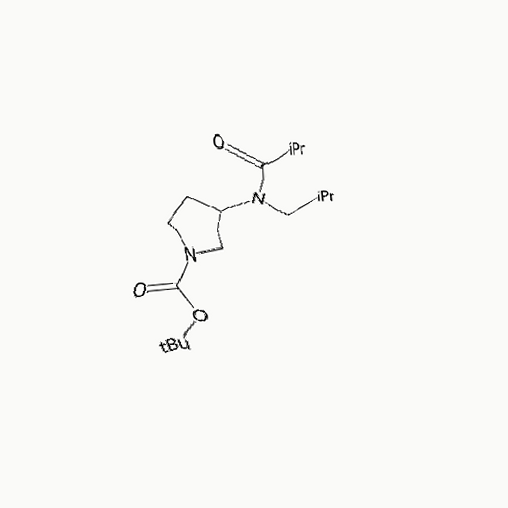 CC(C)CN(C(=O)C(C)C)C1CCN(C(=O)OC(C)(C)C)C1